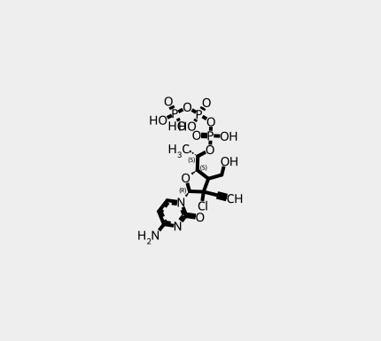 C#CC1(Cl)C(CO)[C@@H]([C@H](C)OP(=O)(O)OP(=O)(O)OP(=O)(O)O)O[C@H]1n1ccc(N)nc1=O